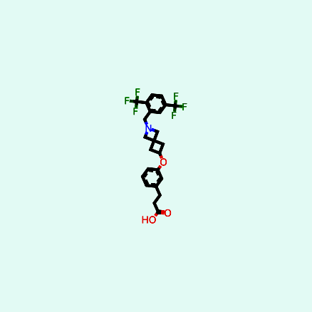 O=C(O)CCc1cccc(OC2CC3(C2)CN(Cc2cc(C(F)(F)F)ccc2C(F)(F)F)C3)c1